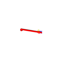 CN(C)CCOC(=S)CCCCCCCCCCCCCCCCCCCCCCCCCCc1ccccc1